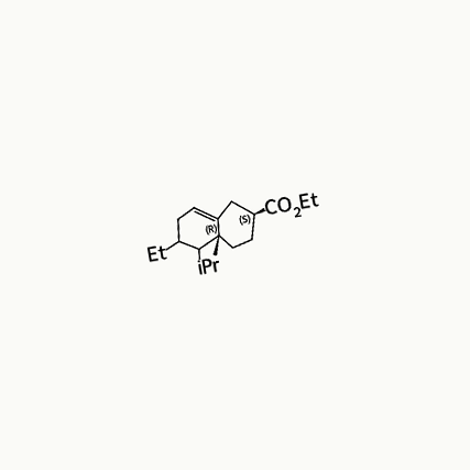 CCOC(=O)[C@H]1CC[C@@]2(C)C(=CCC(CC)C2C(C)C)C1